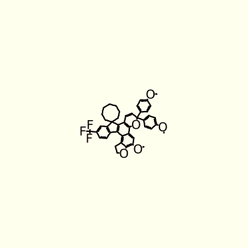 COc1ccc(C2(c3ccc(OC)cc3)C=Cc3c4c(c5c6c(c(OC)cc5c3O2)OCC6)-c2ccc(C(F)(F)F)cc2C42CCCCCCC2)cc1